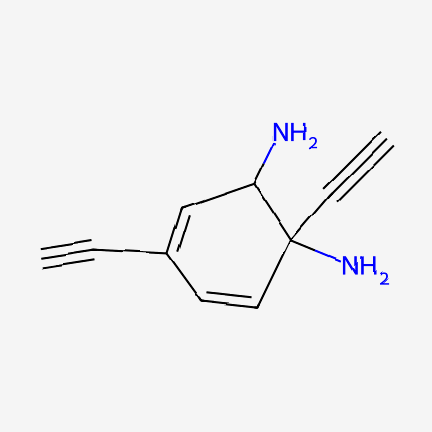 C#CC1=CC(N)C(N)(C#C)C=C1